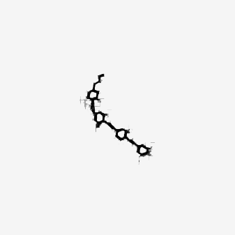 C=CCCc1cc(F)c(C(F)(F)Oc2cc(F)c(C#Cc3ccc(C#Cc4cc(F)c(F)c(F)c4)c(F)c3)c(F)c2)c(F)c1